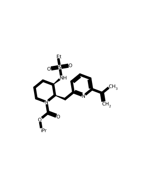 C=C(C)c1cccc(C[C@@H]2[C@H](NS(=O)(=O)CC)CCCN2C(=O)OC(C)C)n1